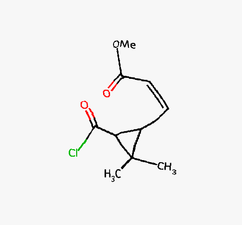 COC(=O)/C=C\C1C(C(=O)Cl)C1(C)C